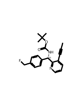 CC#Cc1cccnc1[C@@H](NC(=O)OC(C)(C)C)c1ccc(CF)cc1